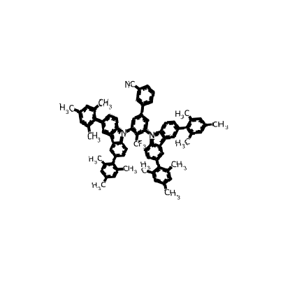 Cc1cc(C)c(-c2ccc3c(c2)c2cc(-c4c(C)cc(C)cc4C)ccc2n3-c2cc(-c3cccc(C#N)c3)cc(-n3c4ccc(-c5c(C)cc(C)cc5C)cc4c4cc(-c5c(C)cc(C)cc5C)ccc43)c2C(F)(F)F)c(C)c1